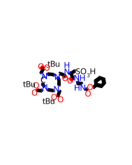 CC(C)(C)OC(=O)CN1CCN(CC(=O)NC(CS(=O)(=O)O)C(=O)NCCNC(=O)OCc2ccccc2)CCN(CC(=O)OC(C)(C)C)CCN(CC(=O)OC(C)(C)C)CC1